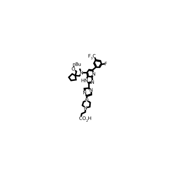 CCCCOCC1(CN(C)c2cc(-c3cc(F)cc(C(F)(F)F)c3)nc3nc(-c4cnc(N5CCN(CCC(=O)O)CC5)cn4)[nH]c23)CCCC1